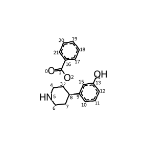 O=C(O[C@H]1CNCC[C@@H]1c1cccc(O)c1)c1ccccc1